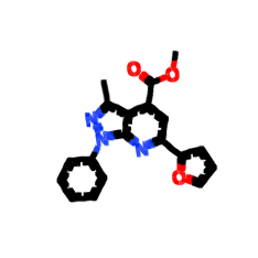 COC(=O)c1cc(-c2ccco2)nc2c1c(C)nn2-c1ccccc1